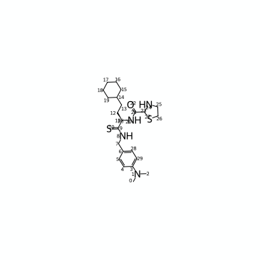 CN(C)c1ccc(CNC(=S)[C@@H](CCC2CCCCC2)NC(=O)C2NCCS2)cc1